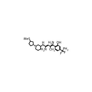 CSC1CC[C@H](N2CCCC(N/C(N)=C/C(C)=C(\N)c3ccc(C(F)(F)P)cc3O)C2)C1